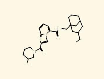 CCC1CC2CCCC(CNC(=O)c3cccc4nc(C(=O)N5CCCC(O)C5)cn34)(C1)C2